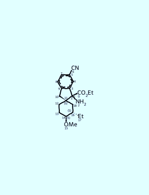 CCOC(=O)[C@]1(N)c2cc(C#N)ccc2C[C@@]12CC[C@H](OC)[C@@H](CC)C2